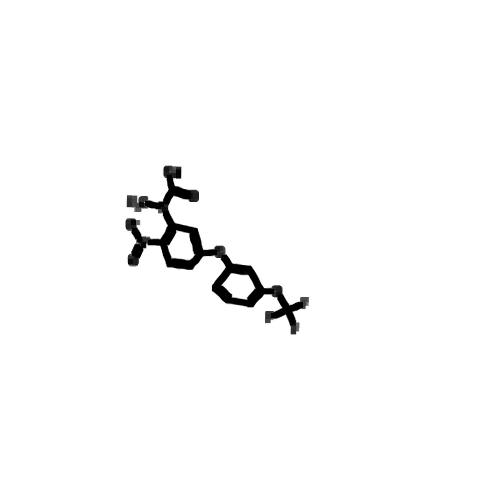 CN(C(=O)O)c1cc(Oc2cccc(OC(F)(F)F)c2)ccc1[N+](=O)[O-]